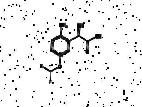 N=C(C(=O)O)c1cc(OC(F)F)ccc1N